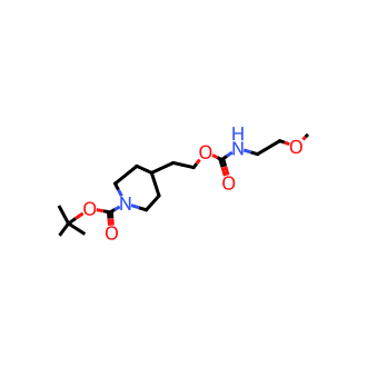 COCCNC(=O)OCCC1CCN(C(=O)OC(C)(C)C)CC1